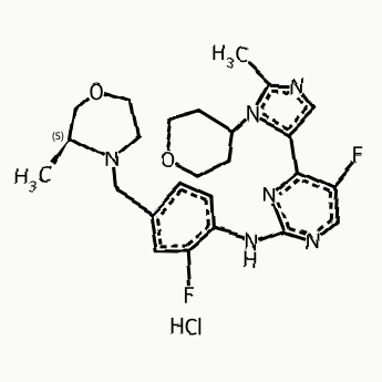 Cc1ncc(-c2nc(Nc3ccc(CN4CCOC[C@@H]4C)cc3F)ncc2F)n1C1CCOCC1.Cl